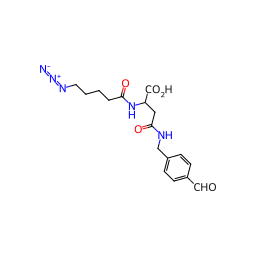 [N-]=[N+]=NCCCCC(=O)NC(CC(=O)NCc1ccc(C=O)cc1)C(=O)O